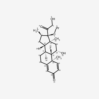 CC(C)O[C@]1(C(=O)CO)[C@H](C)C[C@H]2[C@@H]3CCC4=CC(=O)C=C[C@]4(C)[C@@]3(F)[C@@H](O)C[C@@]21C